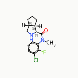 CN(C(=O)[C@H]1NC[C@@H]2CCC[C@@H]21)c1cccc(Cl)c1F